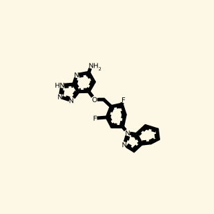 Nc1cc(OCc2c(F)cc(-n3ncc4ccccc43)cc2F)c2nn[nH]c2n1